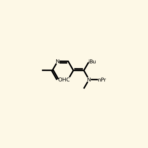 C=C(C)/N=C\C(C=O)=C(/C(C)CC)N(C)CCC